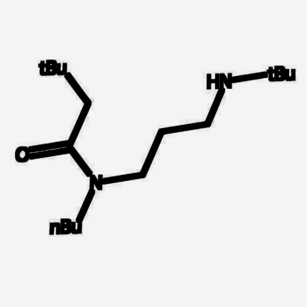 CCCCN(CCCNC(C)(C)C)C(=O)CC(C)(C)C